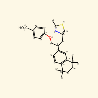 Cc1nc(CC(COc2ccc(C(=O)O)cc2)c2ccc3c(c2)C(C)(C)CCC3(C)C)cs1